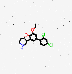 CCOc1cc(-c2ccc(Cl)cc2Cl)cc2c1OC1CCNCC21